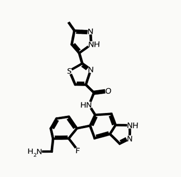 Cc1cc(-c2nc(C(=O)Nc3cc4[nH]ncc4cc3-c3cccc(CN)c3F)cs2)[nH]n1